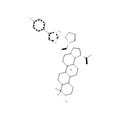 C=C(C)[C@@H]1CC[C@]2(C(=O)N3CCC[C@H]3c3ncc(-c4ccc(C)cc4)[nH]3)CC[C@]3(C)[C@H](CCC4[C@@]5(C)CC[C@H](O)C(C)(C)C5CC[C@]43C)C12